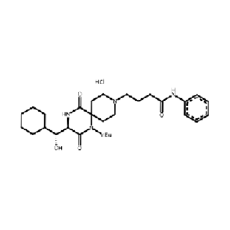 CCCCN1C(=O)[C@@H]([C@H](O)C2CCCCC2)NC(=O)C12CCN(CCCC(=O)Nc1ccccc1)CC2.Cl